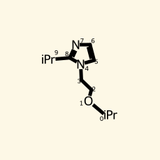 CC(C)OCCn1ccnc1C(C)C